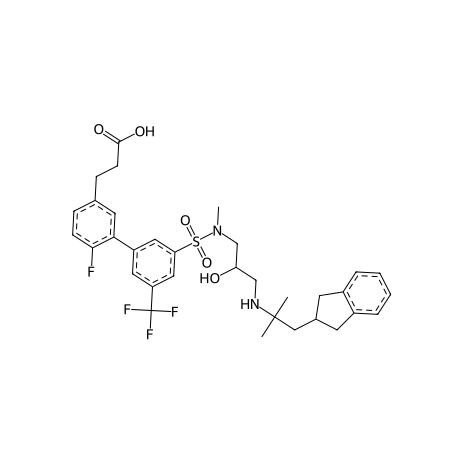 CN(CC(O)CNC(C)(C)CC1Cc2ccccc2C1)S(=O)(=O)c1cc(-c2cc(CCC(=O)O)ccc2F)cc(C(F)(F)F)c1